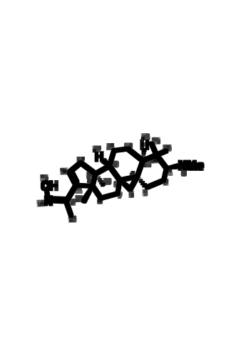 CN[C@H]1CC[C@]23C[C@]24CC[C@]2(C)C(/C(C)=N\O)=CC[C@@]2(C)[C@@H]4CC[C@H]3C1(C)C